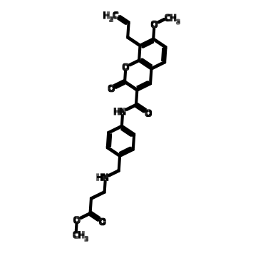 C=CCc1c(OC)ccc2cc(C(=O)Nc3ccc(CNCCC(=O)OC)cc3)c(=O)oc12